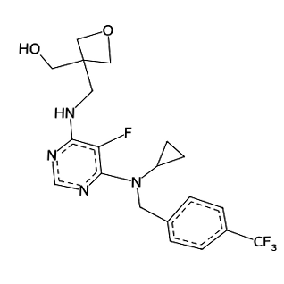 OCC1(CNc2ncnc(N(Cc3ccc(C(F)(F)F)cc3)C3CC3)c2F)COC1